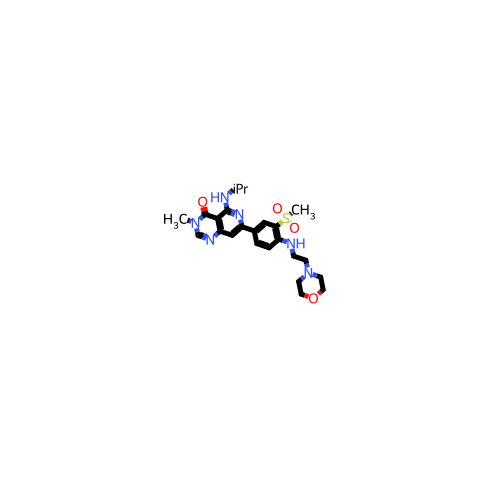 CC(C)Nc1nc(-c2ccc(NCCN3CCOCC3)c(S(C)(=O)=O)c2)cc2ncn(C)c(=O)c12